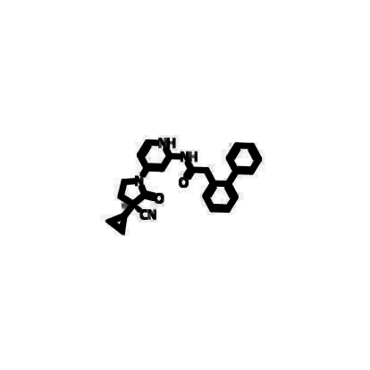 N#C[C@@]1(C2CC2)CCN(C2=CC(NC(=O)Cc3ccccc3-c3ccccc3)NC=C2)C1=O